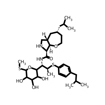 CSC1OC([C@H](NC(=O)[C@H]2NC[C@@H]3C[C@H](CC(C)C)CCO[C@H]32)[C@H](C)Sc2ccc(CC(C)C)cc2)C(O)C(O)C1O